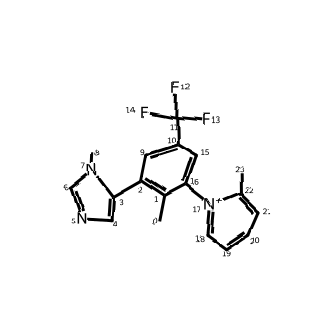 Cc1c(-c2cncn2C)cc(C(F)(F)F)cc1-[n+]1ccccc1C